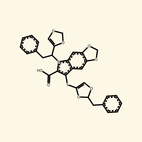 O=C(O)c1c(SC2=COC(Cc3ccccc3)O2)c2cc3c(cc2n1C(Cc1ccccc1)C1=COCO1)OCO3